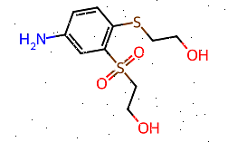 Nc1ccc(SCCO)c(S(=O)(=O)CCO)c1